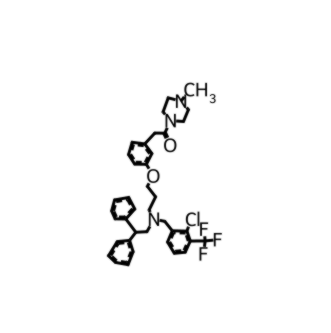 CN1CCN(C(=O)Cc2cccc(OCCCN(Cc3cccc(C(F)(F)F)c3Cl)CC(c3ccccc3)c3ccccc3)c2)CC1